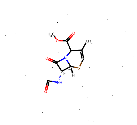 COC(=O)C1C(C)=CS[C@@H]2[C@H](NC=O)C(=O)N12